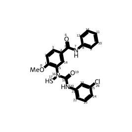 COc1ccc(C(=O)Nc2ccccc2)cc1N(S)C(=O)Nc1cccc(Cl)c1